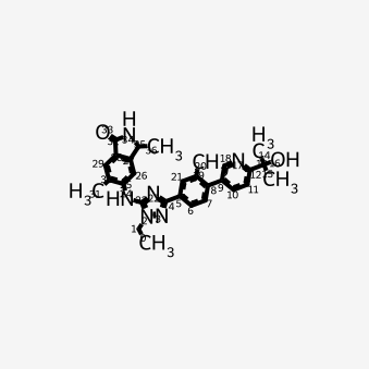 CCn1nc(-c2ccc(-c3ccc(C(C)(C)O)nc3)c(C)c2)nc1Nc1cc2c(cc1C)C(=O)NC2C